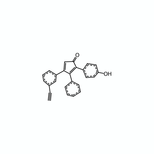 C#Cc1cccc(C2=CC(=O)C(c3ccc(O)cc3)=C2c2ccccc2)c1